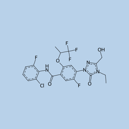 CCn1c(CO)nn(-c2cc(OC(C)C(F)(F)F)c(C(=O)Nc3c(F)cccc3Cl)cc2F)c1=O